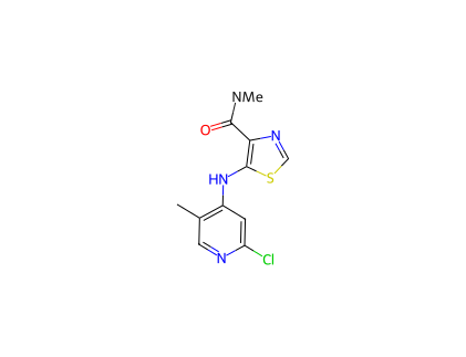 CNC(=O)c1ncsc1Nc1cc(Cl)ncc1C